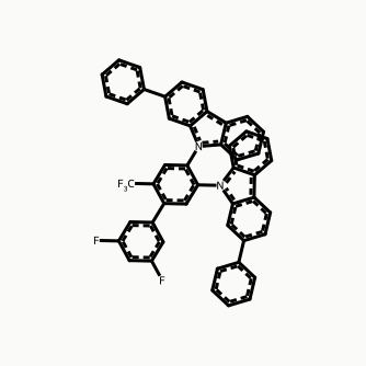 Fc1cc(F)cc(-c2cc(-n3c4ccccc4c4ccc(-c5ccccc5)cc43)c(-n3c4ccccc4c4ccc(-c5ccccc5)cc43)cc2C(F)(F)F)c1